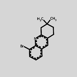 CC1(C)CCc2cc3cccc(Br)c3nc2C1